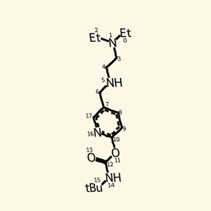 CCN(CC)CCNCc1ccc(OC(=O)NC(C)(C)C)nc1